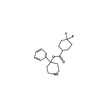 O=C(OC1(c2ccccc2)CCNCC1)C1CCC(F)(F)CC1